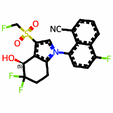 N#Cc1cccc2c(F)ccc(-n3cc(S(=O)(=O)CF)c4c3CCC(F)(F)[C@H]4O)c12